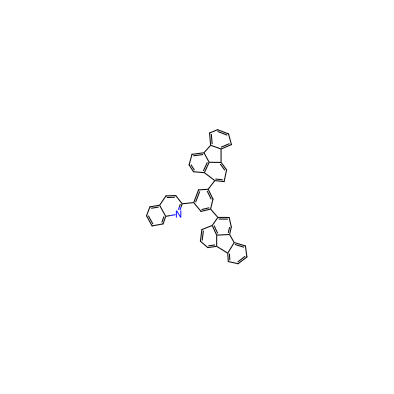 c1ccc2c(c1)-c1cccc3c(-c4cc(-c5ccc6ccccc6n5)cc(-c5ccc6c7c(cccc57)-c5ccccc5-6)c4)ccc-2c13